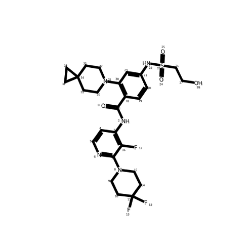 O=C(Nc1ccnc(N2CCC(F)(F)CC2)c1F)c1ccc(NS(=O)(=O)CCO)cc1N1CCC2(CC1)CC2